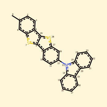 Cc1ccc2c(c1)sc1c3ccc(-n4c5ccccc5c5ccccc54)cc3sc21